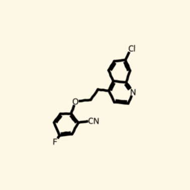 N#Cc1cc(F)ccc1OCCc1ccnc2cc(Cl)ccc12